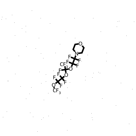 FC(F)(F)OC(F)(F)C(F)(F)OC(F)(OC(F)(F)C(F)(F)N1CCOCC1)C(F)(F)F